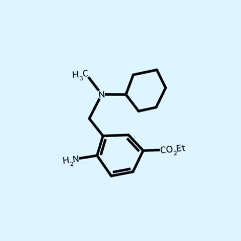 CCOC(=O)c1ccc(N)c(CN(C)C2CCCCC2)c1